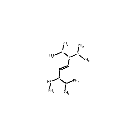 PPP(/P=N/P(P(P)P)P(P)P)P(P)P